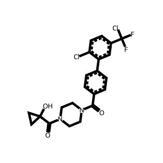 O=C(c1ccc(-c2cc(C(F)(F)Cl)ccc2Cl)cc1)N1CCN(C(=O)C2(O)CC2)CC1